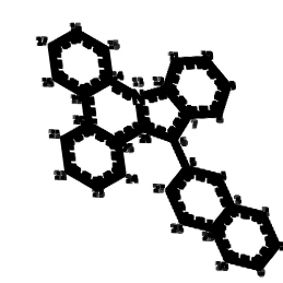 c1ccc2cc(-c3c4ccccc4n4c5ccccc5c5ccccc5c34)ccc2c1